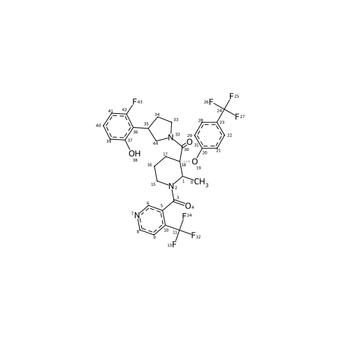 CC1N(C(=O)c2cnccc2C(F)(F)F)CCC[C@@]1(Oc1ccc(C(F)(F)F)cc1)C(=O)N1CCC(c2c(O)cccc2F)C1